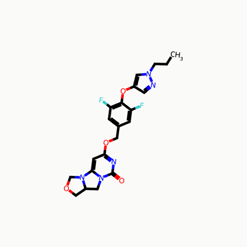 CCCn1cc(Oc2c(F)cc(COc3cc4n(c(=O)n3)CC3COCN43)cc2F)cn1